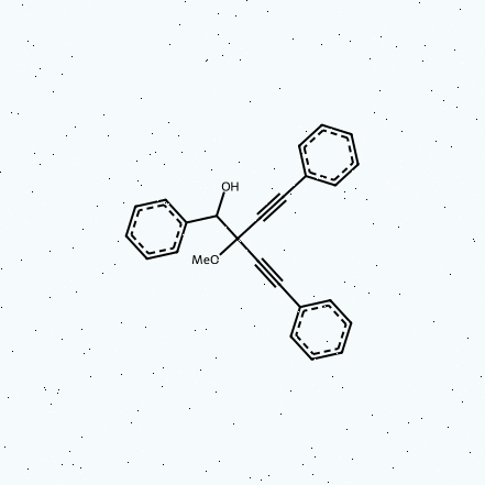 COC(C#Cc1ccccc1)(C#Cc1ccccc1)C(O)c1ccccc1